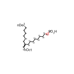 CCCCCCCC/C=C(/CCCCCCCCCCCCCCCC)CCCCCCCCOS(=O)(=O)O